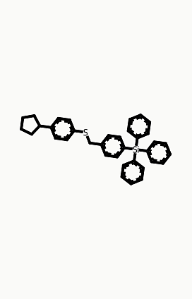 c1ccc([Si](c2ccccc2)(c2ccccc2)c2ccc(CSc3ccc(C4CCCC4)cc3)cc2)cc1